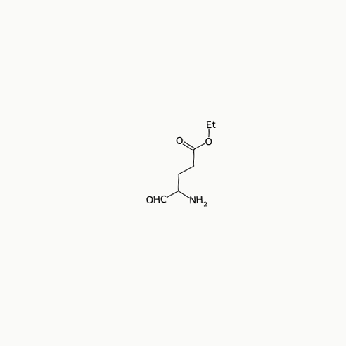 CCOC(=O)CCC(N)C=O